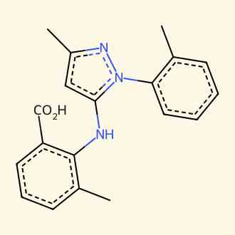 Cc1cc(Nc2c(C)cccc2C(=O)O)n(-c2ccccc2C)n1